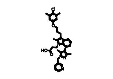 Cc1cc(OCCCc2c(C)n(CCC(=O)O)c3c(-c4c(C)nn(Cc5cccnc5)c4C)cccc23)cc(C)c1Cl